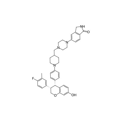 Cc1cc([C@H]2COc3cc(O)ccc3[C@H]2c2ccc(N3CCC(CN4CCN(c5ccc6c(c5)CNC6=O)CC4)CC3)cc2)ccc1F